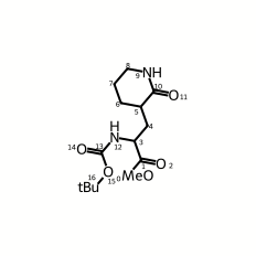 COC(=O)C(CC1CCCNC1=O)NC(=O)OC(C)(C)C